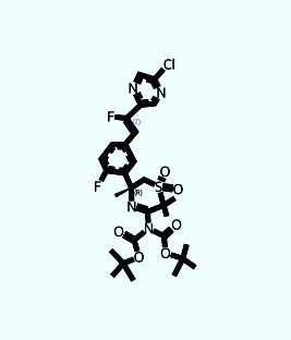 CC(C)(C)OC(=O)N(C(=O)OC(C)(C)C)C1=N[C@](C)(c2cc(/C=C(\F)c3cnc(Cl)cn3)ccc2F)CS(=O)(=O)C1(C)C